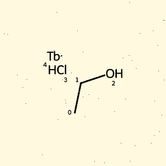 CCO.Cl.[Tb]